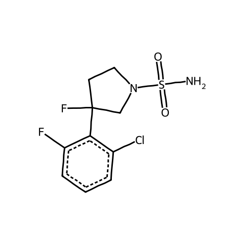 NS(=O)(=O)N1CCC(F)(c2c(F)cccc2Cl)C1